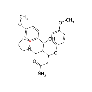 COc1ccc(OC(CC(N)=O)C(CN2CCCC2)C(O)c2ccc(OC)cc2)cc1